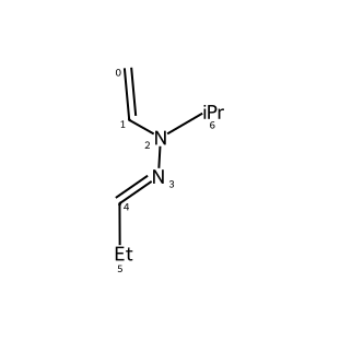 C=CN(/N=C/CC)C(C)C